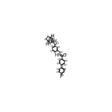 CN1[C@@H]2CC[C@H]1C[C@H](Oc1cccc(CNC(=O)c3ccc(-c4ccc(F)cc4)cc3)c1)C2